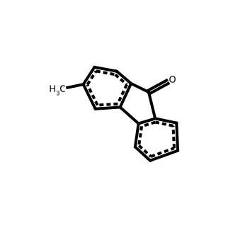 Cc1ccc2c(c1)-c1ccccc1C2=O